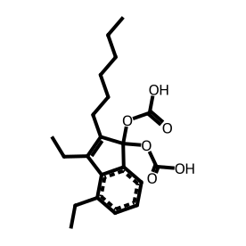 CCCCCCC1=C(CC)c2c(CC)cccc2C1(OC(=O)O)OC(=O)O